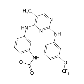 Cc1cnc(Nc2cccc(OC(F)(F)F)c2)nc1Nc1ccc2oc(=O)[nH]c2c1